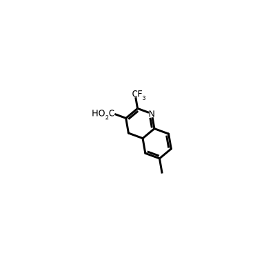 CC1=CC2CC(C(=O)O)=C(C(F)(F)F)N=C2C=C1